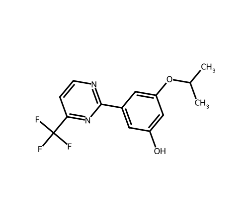 CC(C)Oc1cc(O)cc(-c2nccc(C(F)(F)F)n2)c1